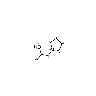 CC(O)CN1C[CH]CC1